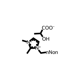 CC(O)C(=O)[O-].CCCCCCCCCC[n+]1ccn(C)c1C